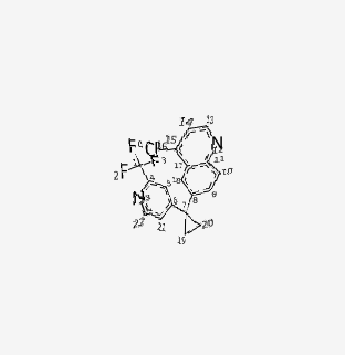 FC(F)(F)c1cc(C2(c3ccc4nccc(Cl)c4c3)CC2)ccn1